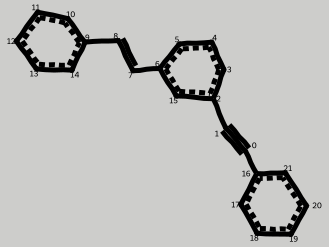 C(#Cc1cccc(/C=C/c2ccccc2)c1)c1ccccc1